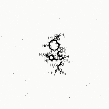 CC[C@H](OC)[C@@H](C)C1O[C@@H]1C(NCc1ccc(C(C)(C)C)cc1)C(C)(O)/C=C/C=C(\C)[C@H]1OC(=O)C[C@H](O)CC[C@@](C)(O)[C@@H](OC(C)=O)/C=C/[C@@H]1C